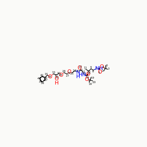 CC(C)(C)OC(=O)NCCCC[C@H](NC(=O)OC(C)(C)C)C(=O)NCCOCCOC[C@H](O)COCc1ccccc1